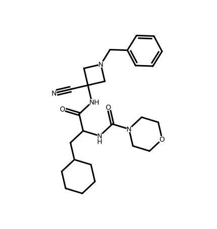 N#CC1(NC(=O)C(CC2CCCCC2)NC(=O)N2CCOCC2)CN(Cc2ccccc2)C1